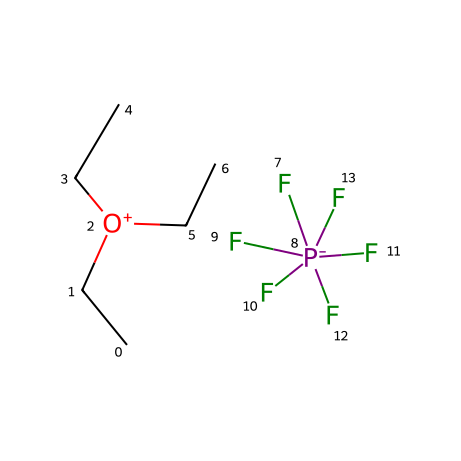 CC[O+](CC)CC.F[P-](F)(F)(F)(F)F